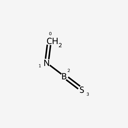 C=NB=S